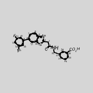 O=C(Cc1nc2ccc(-c3cc(F)cc(F)c3)cc2s1)NCc1cccc(C(=O)O)c1